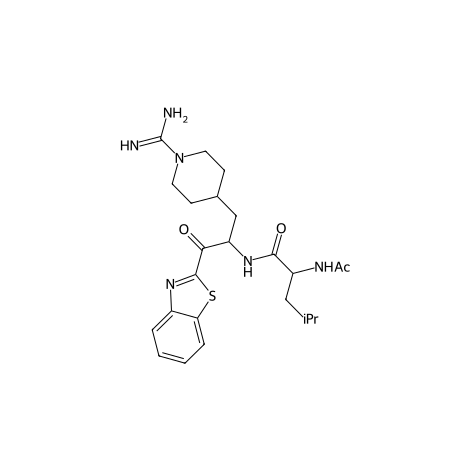 CC(=O)NC(CC(C)C)C(=O)NC(CC1CCN(C(=N)N)CC1)C(=O)c1nc2ccccc2s1